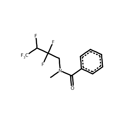 CN(CC(F)(F)C(F)C(F)(F)F)C(=O)c1ccccc1